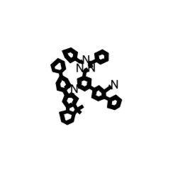 CC1(C)c2cc3c(cc2C2C=CC=CC21)c1ccc(C2C=CC=CC2)cc1n3-c1cc(-c2ccc(-c3ccccc3)c(C#N)c2)cc(-c2nc(-c3ccccc3)nc(-c3ccccc3)n2)c1